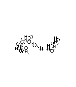 COc1cc(N2CCC(N3CCN(CCCNc4cccc5c4CN(C4CCC(=O)NC4=O)C5)CC3)CC2)ccc1Nc1ncc(Cl)c(Nc2ccccc2P(C)(C)=O)n1